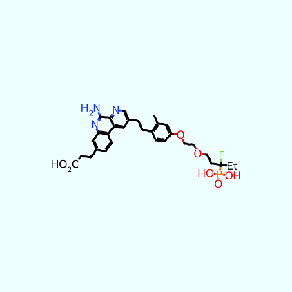 CCC(F)(CCOCCOc1ccc(CCc2cnc3c(N)nc4cc(CCC(=O)O)ccc4c3c2)c(C)c1)P(=O)(O)O